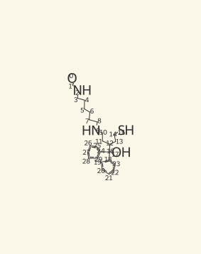 O=CNCCCCCCNCCC(CCS)C(O)(c1ccccc1)c1ccccc1